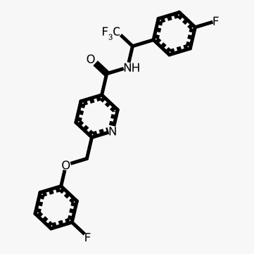 O=C(NC(c1ccc(F)cc1)C(F)(F)F)c1ccc(COc2cccc(F)c2)nc1